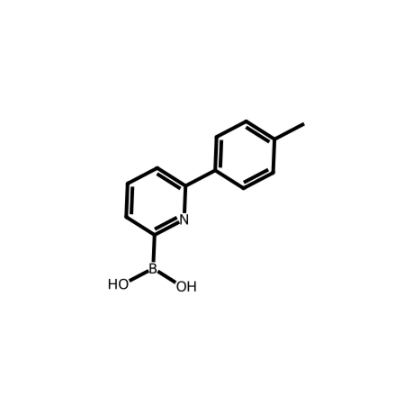 Cc1ccc(-c2cccc(B(O)O)n2)cc1